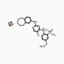 COCc1ccc(Nc2nc(Nc3ccc4c(c3)CC[C@H](N3CC5CC3C5)CC4)ncc2Cl)c(P(C)(C)=O)c1